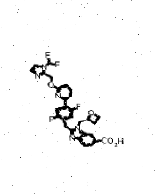 O=C(O)c1ccc2nc(Cc3cc(F)c(-c4cccc(OCc5nccn5C(F)F)n4)cc3F)n(C[C@@H]3CCO3)c2c1